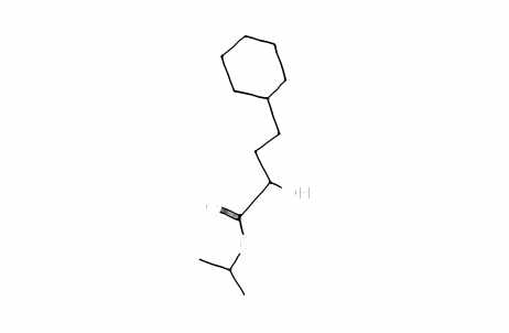 CC(C)OC(=O)C(O)[CH]CC1CCCCC1